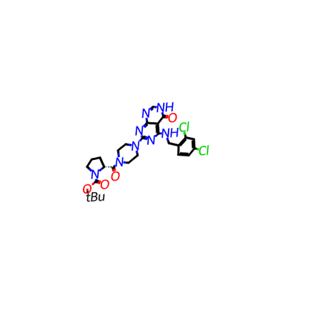 CC(C)(C)OC(=O)N1CCC[C@@H]1C(=O)N1CCN(c2nc(NCc3ccc(Cl)cc3Cl)c3c(=O)[nH]cnc3n2)CC1